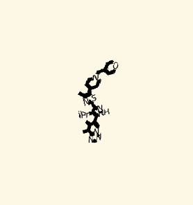 Cc1nc(-c2n[nH]c(-c3cn4ncnc4c(C)c3C)c2C(C)C)sc1C1CCN(CC2CCOCC2)CC1